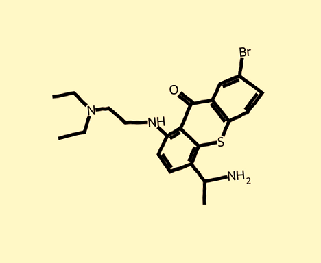 CCN(CC)CCNc1ccc(C(C)N)c2sc3ccc(Br)cc3c(=O)c12